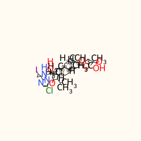 CC(C)C1=C2[C@H]3CC[C@@H]4[C@@]5(C)CC[C@H](OC(=O)CC(C)(C)C(=O)O)C(C)(C)[C@@H]5CC[C@@]4(C)[C@]3(C)CC[C@@]2([C@H](O)CNC2(c3ncc(Cl)cn3)CC2I)CC1=O